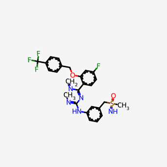 C=N/C(=N\C(=N/C)Nc1cccc(CS(C)(=N)=O)c1)c1ccc(F)cc1OCc1ccc(C(F)(F)F)cc1